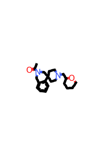 CC(=O)N1Cc2ccccc2C2(CCN(CC3CCCCO3)CC2)C1